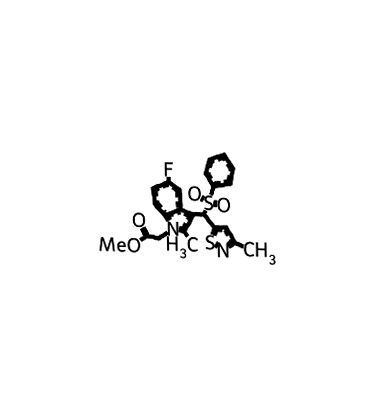 COC(=O)Cn1c(C)c(C(c2cc(C)ns2)S(=O)(=O)c2ccccc2)c2cc(F)ccc21